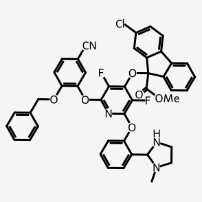 COC(=O)C1(Oc2c(F)c(Oc3cc(C#N)ccc3OCc3ccccc3)nc(Oc3ccccc3C3NCCN3C)c2F)c2ccccc2-c2ccc(Cl)cc21